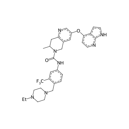 CCN1CCN(Cc2ccc(NC(=O)N3Cc4cc(Oc5ccnc6[nH]ccc56)cnc4CC3C)cc2C(F)(F)F)CC1